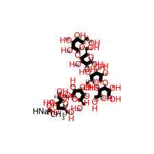 CCO.OC[C@@H](O)[C@@H](O[C@H]1O[C@H](CO)[C@@H](O)[C@H](O)[C@H]1O)[C@H](O)[C@@H](O)CO.OC[C@H]1OC(O)[C@H](O)[C@@H](O)[C@@H]1O.OC[C@H]1O[C@H](O[C@H]2[C@H](O)[C@@H](O)C(O)O[C@@H]2CO)[C@H](O)[C@@H](O)[C@@H]1O.OC[C@H]1O[C@](O)(CO)[C@@H](O)[C@@H]1O.[NaH]